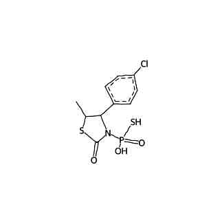 CC1SC(=O)N(P(=O)(O)S)C1c1ccc(Cl)cc1